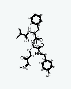 CC(C)C(=O)N[C@@H](Cc1ccccc1)C(=O)N[C@@H](CCC(=O)C=N)C(=O)NCc1ccc(F)cc1